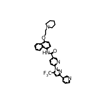 O=C(Nc1ccc(OCCN2CCCCC2)c2ccccc12)c1ccc(-n2nc(-c3cccnc3)cc2C(F)(F)F)nc1